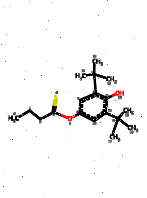 CCCC(=S)Oc1cc(C(C)(C)C)c(O)c(C(C)(C)C)c1